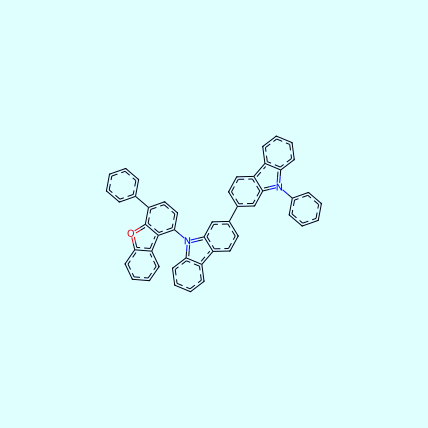 c1ccc(-c2ccc(-n3c4ccccc4c4ccc(-c5ccc6c7ccccc7n(-c7ccccc7)c6c5)cc43)c3c2oc2ccccc23)cc1